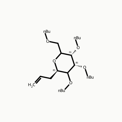 C=CC[C@H]1OC(COCCCC)[C@H](OCCCC)[C@H](OCCCC)C1OCCCC